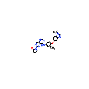 Cc1cc(Nc2ncnc3cnc(N4CCCC4=O)nc23)ccc1Oc1ccc2c(c1)ncn2C